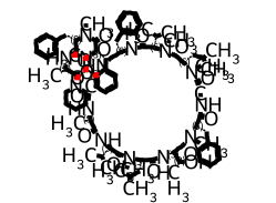 CC(C)C[C@H]1C(=O)N(C)[C@@H](C(C)C)C(=O)N[C@@H](Cc2ccccc2)C(=O)N[C@H](C(=O)N(C)[C@@H](Cc2ccccc2)C(=O)N(C)[C@@H](Cc2ccccc2)C(=O)N[C@@H](C)C(=O)N2CCCCC2)CC(=O)N[C@@H](C)C(=O)N[C@@H](C(C)C)C(=O)N(C)[C@@H](CC(C)C)C(=O)N[C@@H]([C@@H](C)O)C(=O)N(C)[C@@H](Cc2ccccc2)C(=O)NCC(=O)N1C